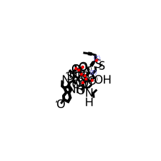 CC#C/C=C\C#C[C@H](OC1OC(C)C(SC)(C(=O)c2nccc3c2[nH]c2ccc(OC)cc23)C(O)C1OC1CC(OC)C(NC(C)C)CO1)C1=C(NC(=O)OC)C(=O)C[C@H](O)/C1=C/CS(C)=S